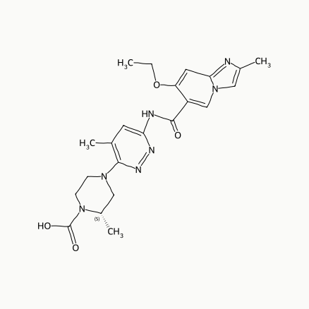 CCOc1cc2nc(C)cn2cc1C(=O)Nc1cc(C)c(N2CCN(C(=O)O)[C@@H](C)C2)nn1